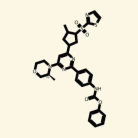 CC1CC(c2cc(N3CCOC[C@@H]3C)nc(-c3ccc(NC(=O)Oc4ccccc4)cc3)n2)CC1S(=O)(=O)c1nccs1